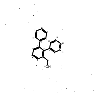 OCc1cccc(-c2ccccc2)c1-c1cncnc1